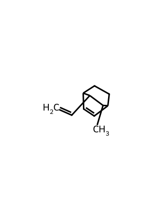 C=CC1C2C=CC(CC2)C1C